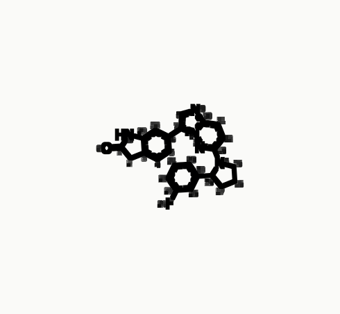 O=C1Cc2ccc(-c3cnc4ccc(N5CCCC5c5cccc(F)c5)nn34)cc2N1